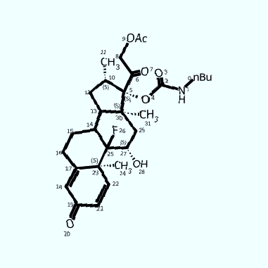 CCCCNC(=O)O[C@@]1(C(=O)COC(C)=O)[C@@H](C)CC2C3CCC4=CC(=O)C=C[C@]4(C)C3(F)[C@@H](O)C[C@@]21C